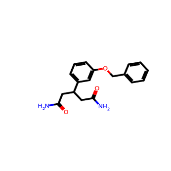 NC(=O)CC(CC(N)=O)c1cccc(OCc2ccccc2)c1